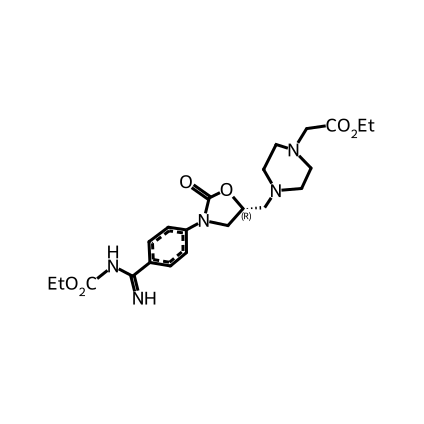 CCOC(=O)CN1CCN(C[C@@H]2CN(c3ccc(C(=N)NC(=O)OCC)cc3)C(=O)O2)CC1